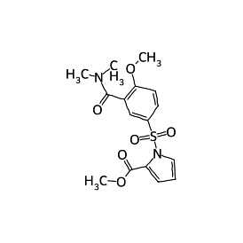 COC(=O)c1cccn1S(=O)(=O)c1ccc(OC)c(C(=O)N(C)C)c1